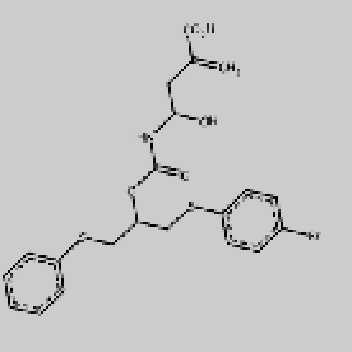 C=C(CC(O)NC(=O)OC(CSc1ccccc1)CSc1ccc(Br)cc1)C(=O)O